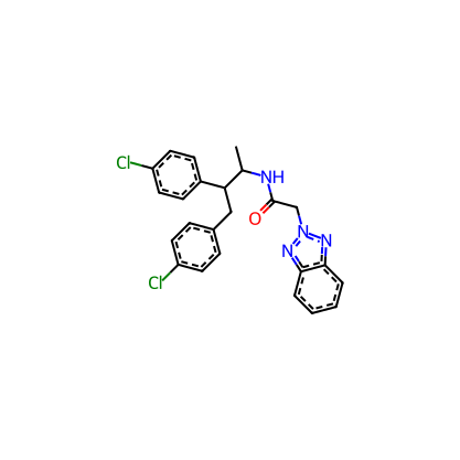 CC(NC(=O)Cn1nc2ccccc2n1)C(Cc1ccc(Cl)cc1)c1ccc(Cl)cc1